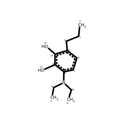 CCCc1ccc(N(CC)CC)c(O)c1O